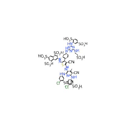 Cc1c(C#N)c(Nc2ccc(Cl)c(S(=O)(=O)O)c2)nc(Nc2ccc(Cl)c(S(=O)(=O)O)c2)c1N=Nc1sc(N=Nc2cc(S(=O)(=O)O)c3cc(S(=O)(=O)O)cc(S(=O)(=O)O)c3c2)c(-c2ccc(Nc3nc(NCCS(=O)(=O)O)nc(Nc4cc(S(=O)(=O)O)ccc4S(=O)(=O)O)n3)cc2)c1C#N